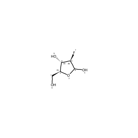 OC[C@@H]1OC(O)[C@H](F)[C@H]1O